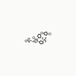 O=CNCCN1C[C@H](c2cccc(C(F)(F)F)c2)N(c2ccc(Oc3ccc(Cl)cc3)cc2)C1=O